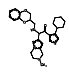 CN1CCn2nc(C(NCC3COc4ccccc4O3)C(=O)c3cscc3C3CCCCC3)cc2C1